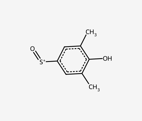 Cc1cc([S+]=O)cc(C)c1O